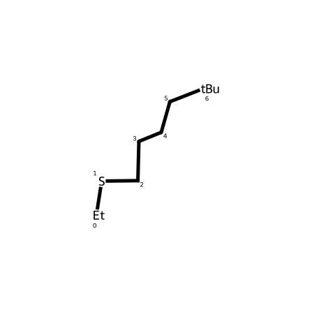 CCSCCCCC(C)(C)C